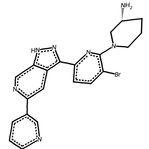 N[C@@H]1CCCN(c2nc(-c3n[nH]c4cnc(-c5cccnc5)cc34)ccc2Br)C1